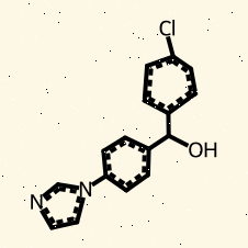 OC(c1ccc(Cl)cc1)c1ccc(-n2ccnc2)cc1